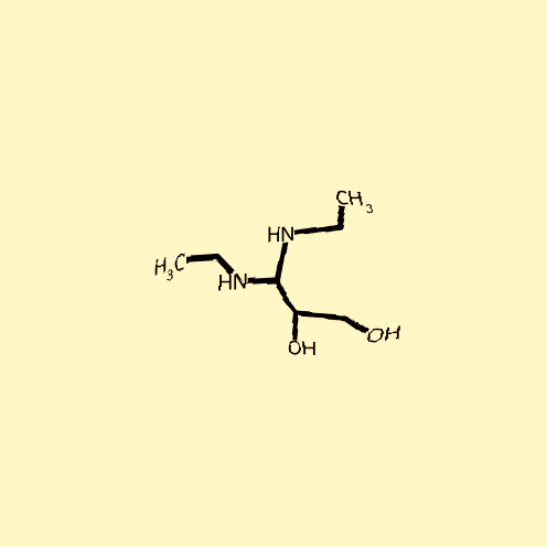 CCNC(NCC)C(O)CO